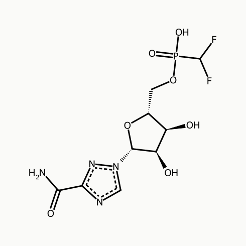 NC(=O)c1ncn([C@@H]2O[C@H](COP(=O)(O)C(F)F)[C@@H](O)[C@H]2O)n1